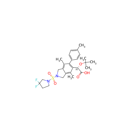 Cc1ccc(-c2c(C)c3c(c(C)c2[C@H](OC(C)(C)C)C(=O)O)CN(S(=O)(=O)N2CCC(F)(F)C2)C3)cc1